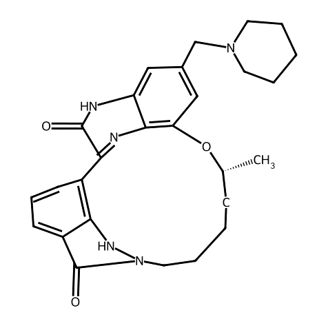 C[C@@H]1CCCCn2[nH]c3c(cccc3c2=O)-c2nc3c(cc(CN4CCCCC4)cc3[nH]c2=O)O1